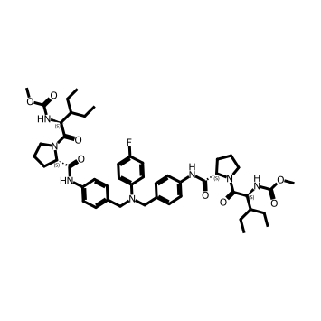 CCC(CC)[C@H](NC(=O)OC)C(=O)N1CCC[C@H]1C(=O)Nc1ccc(CN(Cc2ccc(NC(=O)[C@@H]3CCCN3C(=O)[C@@H](NC(=O)OC)C(CC)CC)cc2)c2ccc(F)cc2)cc1